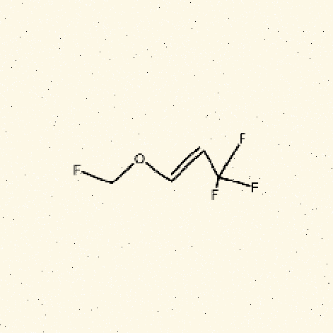 FCOC=CC(F)(F)F